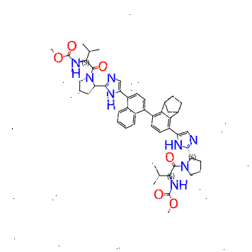 COC(=O)N[C@H](C(=O)N1CCCC1c1ncc(-c2ccc(-c3ccc(-c4cnc([C@@H]5CCCN5C(=O)[C@@H](NC(=O)OC)C(C)C)[nH]4)c4c3C3CCC4C3)c3ccccc23)[nH]1)C(C)C